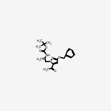 CC(=O)c1cc(OCc2ccccc2)nn1C[C@@H](C)NC(=O)OC(C)(C)C